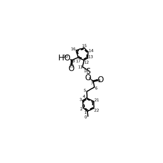 Cc1ccc(CCC(=O)OSCc2ccccc2C(=O)O)cc1